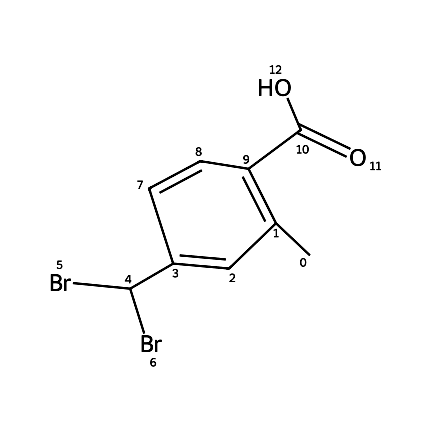 Cc1cc(C(Br)Br)ccc1C(=O)O